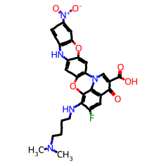 CN(C)CCCCNc1c(F)cc2c(=O)c(C(=O)O)cn3c4cc5oc6cc([N+](=O)[O-])ccc6[nH]c5cc4oc1c23